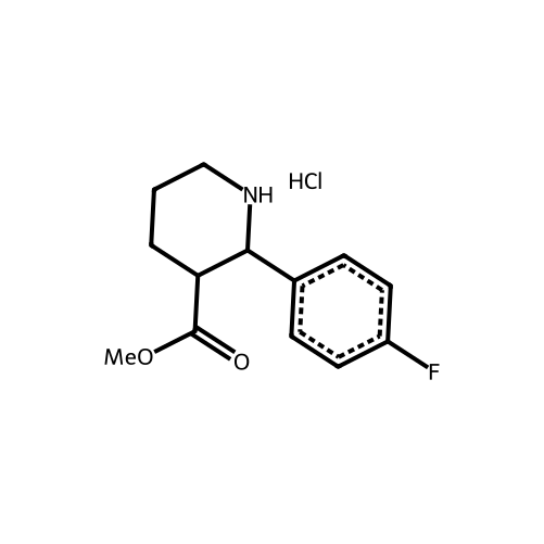 COC(=O)C1CCCNC1c1ccc(F)cc1.Cl